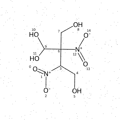 O=[N+]([O-])C(CO)C(CO)(C(O)O)[N+](=O)[O-]